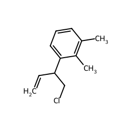 C=CC(CCl)c1cccc(C)c1C